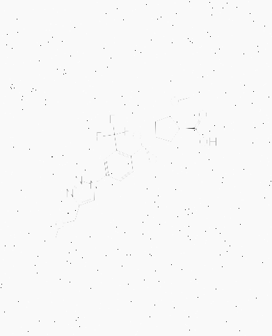 COCc1cn(-c2ccc(S(=O)(=O)[C@@H]3C[C@H](OC)[C@@H](C(=O)O)C3)c(C(F)(F)F)c2)nn1